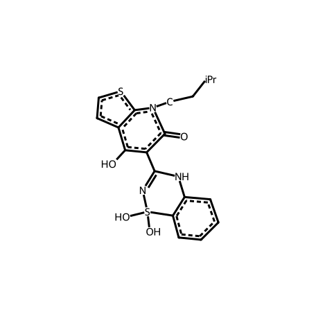 CC(C)CCn1c(=O)c(C2=NS(O)(O)c3ccccc3N2)c(O)c2ccsc21